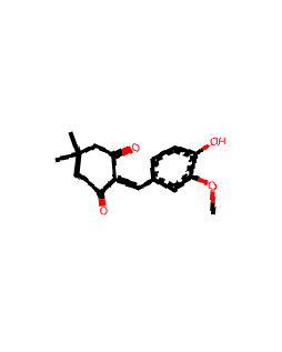 COc1cc(C=C2C(=O)CC(C)(C)CC2=O)ccc1O